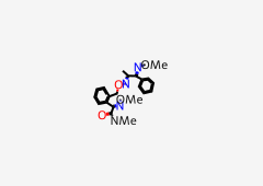 CNC(=O)/C(=N/OC)c1ccccc1CO/N=C(C)/C(=N/OC)c1ccccc1